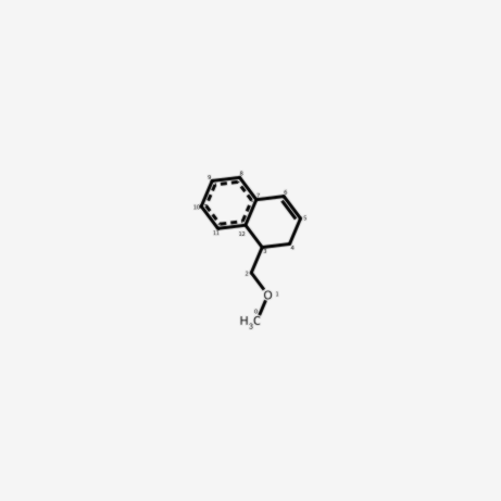 COCC1CC=Cc2ccccc21